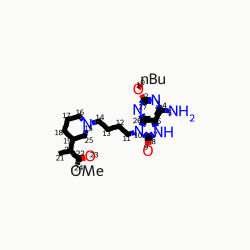 CCCCOc1nc(N)c2[nH]c(=O)n(CCCCN3CCCC(C(C)C(=O)OC)C3)c2n1